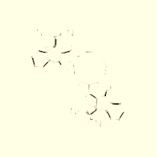 N#CC(C#N)=C1/C(=C/C2CCCCCCC(/C=C3\C(=O)c4ccccc4C3=C(C#N)C#N)CCC2)C(=O)c2ccccc21